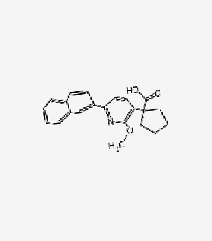 COc1nc(-c2ccc3ccccc3c2)ccc1C1(C(=O)O)CCCC1